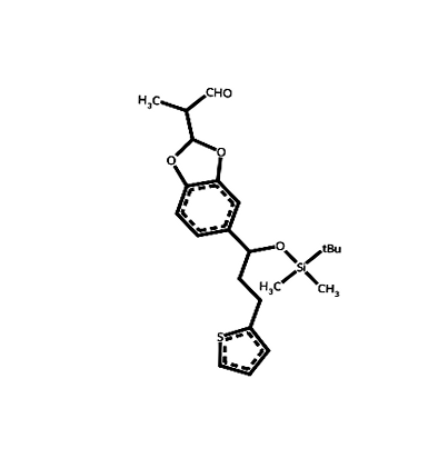 CC(C=O)C1Oc2ccc(C(CCc3cccs3)O[Si](C)(C)C(C)(C)C)cc2O1